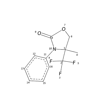 CC1(C(F)(F)F)COC(=O)N1c1ccccc1